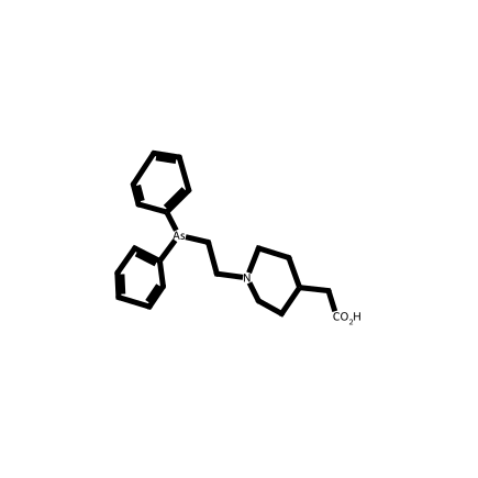 O=C(O)CC1CCN(CC[As](c2ccccc2)c2ccccc2)CC1